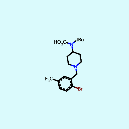 CC(C)(C)N(C(=O)O)C1CCN(Cc2cc(C(F)(F)F)ccc2Br)CC1